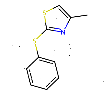 Cc1csc(Sc2[c]cccc2)n1